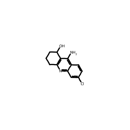 Nc1c2c(nc3cc(Cl)ccc13)CCCC2O